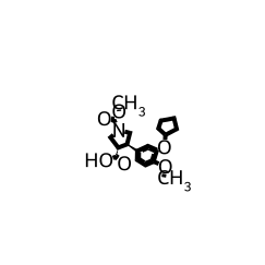 COC(=O)N1C[C@@H](C(=O)O)[C@H](c2ccc(OC)c(OC3CCCC3)c2)C1